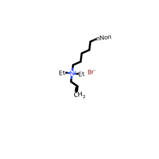 C=CC[N+](CC)(CC)CCCCCCCCCCCCCC.[Br-]